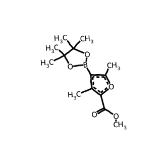 COC(=O)c1oc(C)c(B2OC(C)(C)C(C)(C)O2)c1C